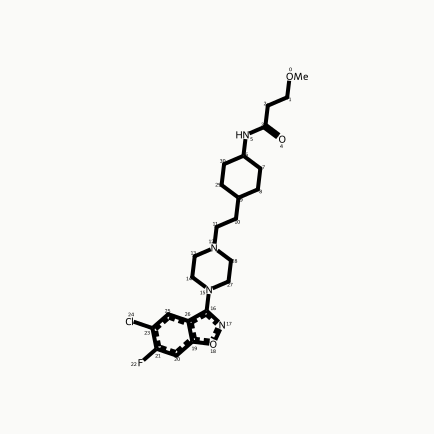 COCCC(=O)NC1CCC(CCN2CCN(c3noc4cc(F)c(Cl)cc34)CC2)CC1